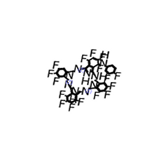 FC1=C(F)C(F)(Nc2ccc(F)cc2)c2c3[nH]/c(c2=C1F)=N\C1=NC(=N\c2[nH]c(c4c(F)c(F)c(F)c(F)c24)/N=C2\N=C(N3)c3c(F)c(F)c(F)c(F)c32)/c2c1cc(F)c(F)c2F